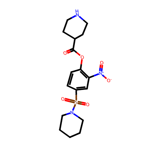 O=C(Oc1ccc(S(=O)(=O)N2CCCCC2)cc1[N+](=O)[O-])C1CCNCC1